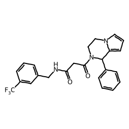 O=C(CC(=O)N1CCn2cccc2C1c1ccccc1)NCc1cccc(C(F)(F)F)c1